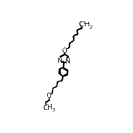 C=CCCCCCCOc1cnc(-c2ccc(CCCCCOCCC)cc2)nc1